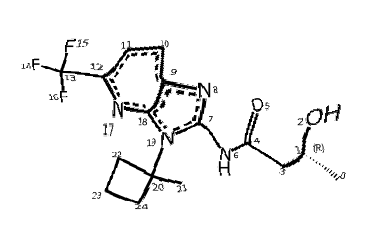 C[C@@H](O)CC(=O)Nc1nc2ccc(C(F)(F)F)nc2n1C1(C)CCC1